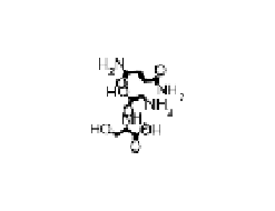 NC(=O)/C=C/C(N)=O.NCC(=O)O.N[C@@H](CO)C(=O)O